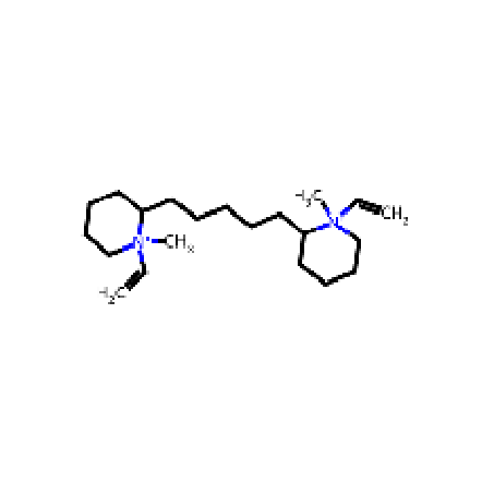 C=C[N+]1(C)CCCCC1CCCCCC1CCCC[N+]1(C)C=C